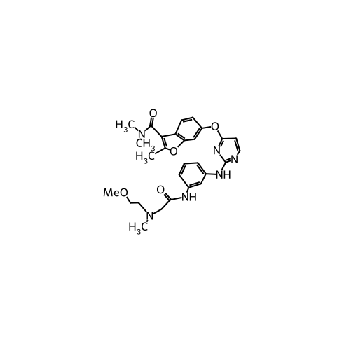 COCCN(C)CC(=O)Nc1cccc(Nc2nccc(Oc3ccc4c(C(=O)N(C)C)c(C)oc4c3)n2)c1